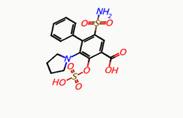 NS(=O)(=O)c1cc(C(=O)O)c(OS(=O)(=O)O)c(N2CCCC2)c1-c1ccccc1